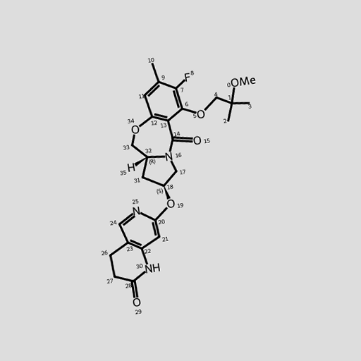 COC(C)(C)COc1c(F)c(C)cc2c1C(=O)N1C[C@@H](Oc3cc4c(cn3)CCC(=O)N4)C[C@@H]1CO2